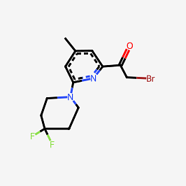 Cc1cc(C(=O)CBr)nc(N2CCC(F)(F)CC2)c1